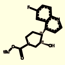 CC(C)(C)OC(=O)N1CC[C@H](c2ccnc3ccc(F)cc23)[C@H](O)C1